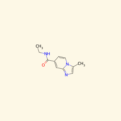 CCNC(=O)c1ccn2c(C)cnc2c1